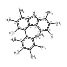 Bc1c(B)c(B)c(-c2c(B)c(B)c(B)c3[nH]c4c(B)c(B)c(Cl)c(B)c4c23)c(B)c1B